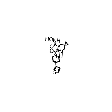 O=C(NO)[C@H]1CC2(CC2)CN[C@@H]1C(=O)N1CC=C(c2ccsc2)CC1